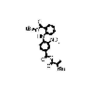 C=C(C(=O)OC(=O)c1ccc(Nc2ccccc2C(=O)OC(C)(C)C)c([N+](=O)[O-])c1)C(C)(C)C